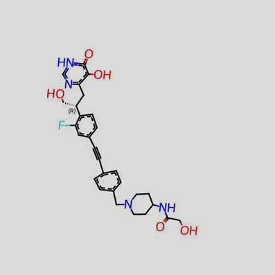 O=C(CO)NC1CCN(Cc2ccc(C#Cc3ccc([C@H](CO)Cc4nc[nH]c(=O)c4O)c(F)c3)cc2)CC1